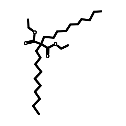 CCCCCCCCCCC(CCCCCCCCCC)(C(=O)OCC)C(=O)OCC